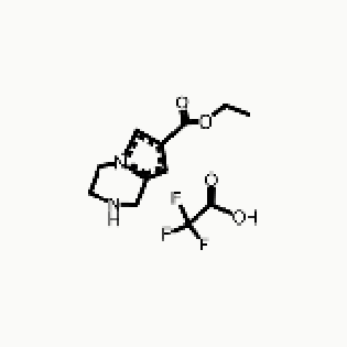 CCOC(=O)c1cc2n(c1)CCNC2.O=C(O)C(F)(F)F